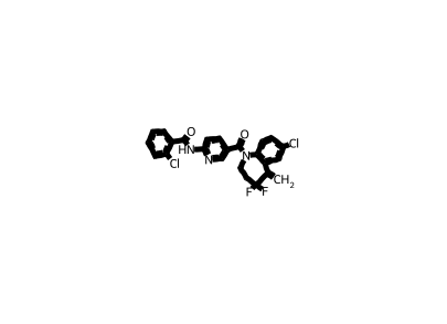 C=C1c2cc(Cl)ccc2N(C(=O)c2ccc(NC(=O)c3ccccc3Cl)nc2)CCC1(F)F